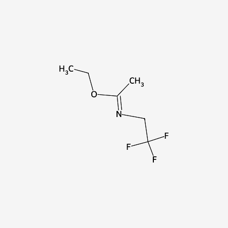 CCO/C(C)=N/CC(F)(F)F